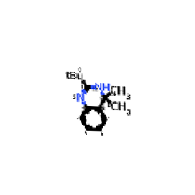 CC(C)(C)C1=Nc2ccccc2C(C)(C)N1